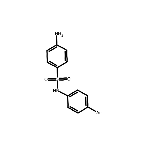 CC(=O)c1ccc(NS(=O)(=O)c2ccc(N)cc2)cc1